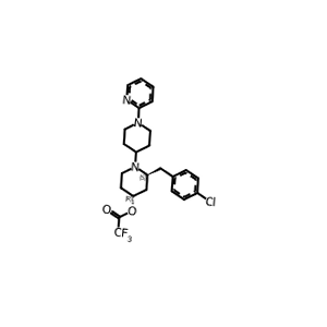 O=C(O[C@@H]1CCN(C2CCN(c3ccccn3)CC2)[C@@H](Cc2ccc(Cl)cc2)C1)C(F)(F)F